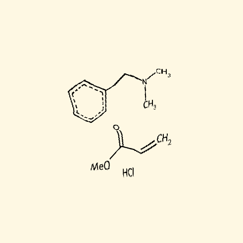 C=CC(=O)OC.CN(C)Cc1ccccc1.Cl